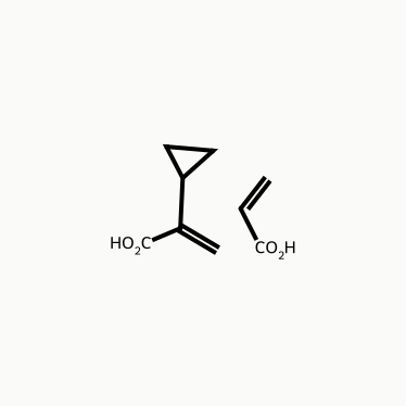 C=C(C(=O)O)C1CC1.C=CC(=O)O